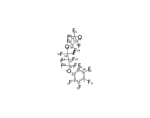 Fc1c(F)c(F)c(OC(F)(F)C(F)(F)C(F)(F)OC(F)(F)C2(F)OC2(F)F)c(F)c1F